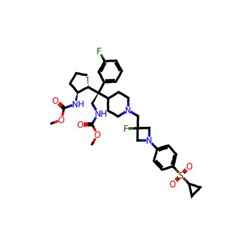 COC(=O)NC[C@@](c1cccc(F)c1)(C1CCN(CC2(F)CN(c3ccc(S(=O)(=O)C4CC4)cc3)C2)CC1)[C@H]1CCC[C@@H]1NC(=O)OC